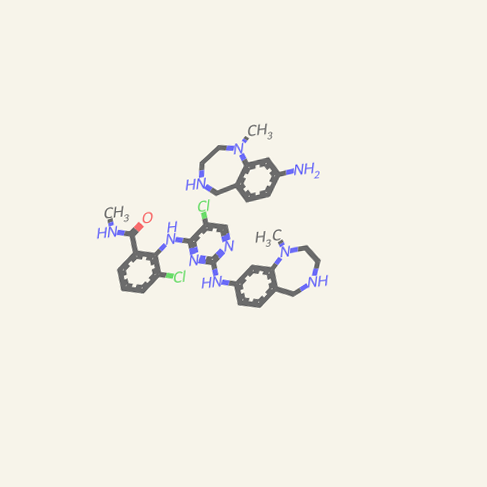 CN1CCNCc2ccc(N)cc21.CNC(=O)c1cccc(Cl)c1Nc1nc(Nc2ccc3c(c2)N(C)CCNC3)ncc1Cl